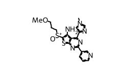 COCCC[S+]([O-])c1sc2nc(-c3cccnc3)nc(-c3cn(C)cn3)c2c1N